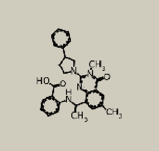 Cc1cc(C(C)Nc2ccccc2C(=O)O)c2nc(N3CCC(c4ccccc4)C3)n(C)c(=O)c2c1